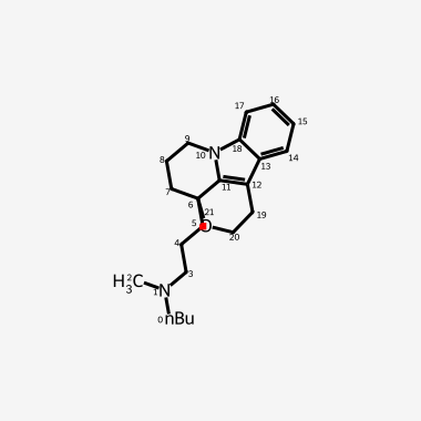 CCCCN(C)CCCC12CCCn3c1c(c1ccccc13)CCO2